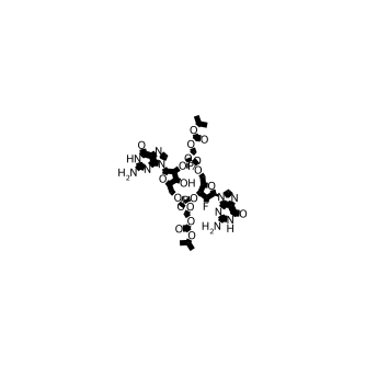 CC(C)OC(=O)OCOP1(=O)OCC2OC(n3cnc4c(=O)[nH]c(N)nc43)C(OP(=O)(OCOC(=O)OC(C)C)OCC3O[C@@H](n4cnc5c(=O)[nH]c(N)nc54)C(F)C3O1)C2O